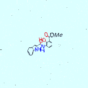 COC(=O)c1cccc(NC(=O)c2cc3ccccc3[nH]2)c1O